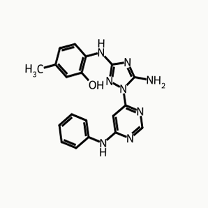 Cc1ccc(Nc2nc(N)n(-c3cc(Nc4ccccc4)ncn3)n2)c(O)c1